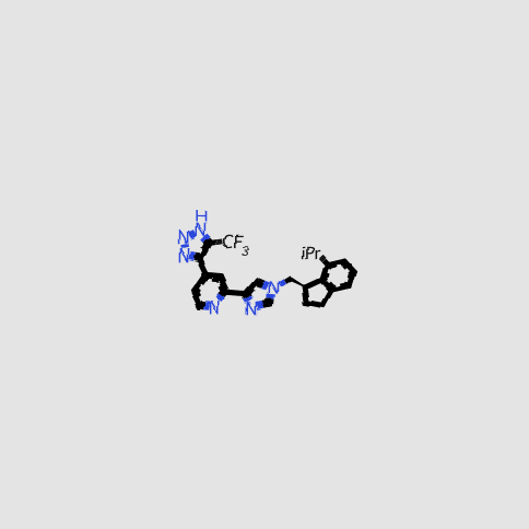 CC(C)c1cccc2c1[C@H](Cn1cnc(-c3cc(-c4nn[nH]c4C(F)(F)F)ccn3)c1)CC2